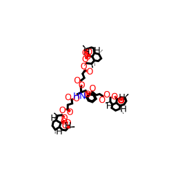 C[C@H]1[C@H](OC(=O)CCC(=O)OCC(COC(=O)CCC(=O)O[C@@H]2O[C@@H]3O[C@@]4(C)CC[C@H]5[C@H](C)CC[C@@H]([C@H]2C)[C@@]35OO4)(COC(=O)CCC(=O)O[C@@H]2O[C@@H]3O[C@@]4(C)CC[C@H]5[C@H](C)CC[C@@](C)([C@H]2C)[C@@]35OO4)Nc2ccccc2)O[C@@H]2O[C@@]3(C)CC[C@H]4[C@H](C)CC[C@@H]1[C@@]24OO3